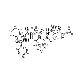 CCC[C@H](NC(=O)C1[C@H]2CCC[C@H]2CN1C(=O)[C@@H](NC(=O)[C@@H](NC(=O)c1cnccn1)C1CCCCC1)C(C)(C)C)C(O)C(=O)NC1CC1